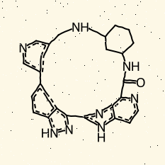 O=C1NC2CCCC(CNCc3cncc(c3)-c3ccc4[nH]nc(c4c3)-c3nc4c1nccc4[nH]3)C2